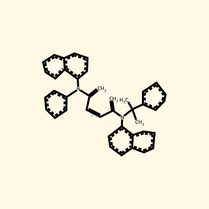 C=C(/C=C\C(=C)N(c1cccc2ccccc12)C(C)(C)c1ccccc1)N(c1ccccc1)c1cccc2ccccc12